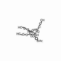 C#CCOCCOCCNC(=O)CCC(CCC(=O)NCCOCCOCC#C)(CCC(=O)NCCOCCOCC#C)NC(=O)C1CCC(OC(C)=O)CC1